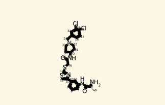 C[C@@H](N)C(=O)Nc1cccc(-c2csc(SCC(=O)NC3CCN(Cc4ccc(Cl)c(Cl)c4)CC3)n2)c1